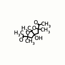 CC(=O)C1(C)CC2(O)CC(C)(C(C)=O)OC2(C)O1